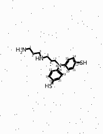 NCCCNCCCN(c1ccc(S)cc1)c1ccc(S)cc1